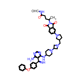 CC(CCC(=O)NC=O)N1C(=O)c2ccc(N3CCC(CN4CC(N5CCC(Nc6ncnc(N)c6C(=N)c6ccc(Oc7ccccc7)cc6)CC5)C4)C3)cc2C1=O